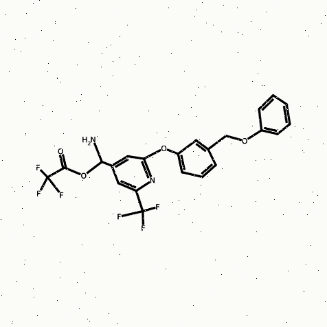 NC(OC(=O)C(F)(F)F)c1cc(Oc2cccc(COc3ccccc3)c2)nc(C(F)(F)F)c1